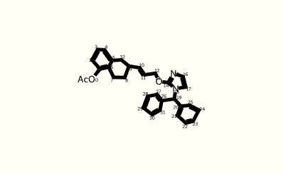 CC(=O)Oc1cccc2c1CCC(C=CCOc1nccn1C(c1ccccc1)c1ccccc1)C2